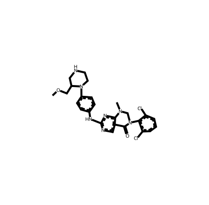 COCC1CNCCN1c1ccc(Nc2ncc3c(n2)N(C)CN(c2c(Cl)cccc2Cl)C3=O)cc1